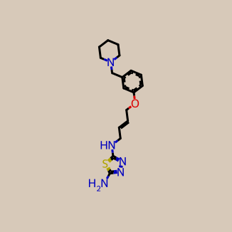 Nc1nnc(NCC=CCOc2cccc(CN3CCCCC3)c2)s1